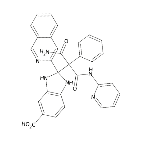 NC(=O)C(C(=O)Nc1ccccn1)(c1ccccc1)C1(c2cc3ccccc3cn2)Nc2ccc(C(=O)O)cc2N1